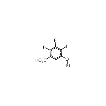 CCOc1cc(C(=O)O)c(F)c(F)c1I